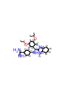 CCOc1cc(OC(C)C)c(F)c(C(Nc2ccc(C(=N)N)cc2)c2nc3ccccc3n2C)c1